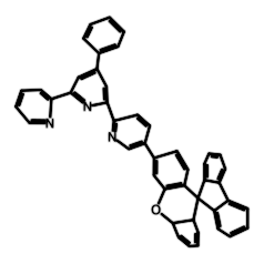 C1=CC2Oc3cc(-c4ccc(-c5cc(-c6ccccc6)cc(-c6ccccn6)n5)nc4)ccc3C3(c4ccccc4-c4ccccc43)C2C=C1